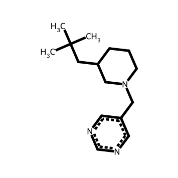 CC(C)(C)CC1CCCN(Cc2cncnc2)C1